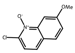 COc1ccc2ccc(Cl)[n+]([O-])c2c1